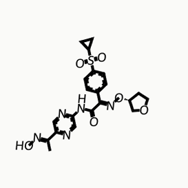 C/C(=N\O)c1cnc(NC(=O)/C(=N/O[C@@H]2CCOC2)c2ccc(S(=O)(=O)C3CC3)cc2)cn1